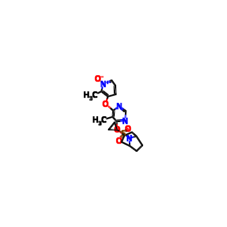 Cc1c(Oc2ccc[n+]([O-])c2C)ncnc1OC1CC2CCC(C1)N2S(=O)(=O)C1CC1